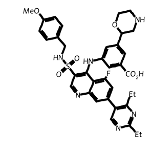 CCc1ncc(-c2cc(F)c3c(Nc4cc(C(=O)O)cc(C5CNCCO5)c4)c(S(=O)(=O)NCc4ccc(OC)cc4)cnc3c2)c(CC)n1